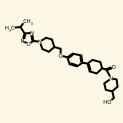 CC(C)c1noc(N2CCC(COc3ccc(C4=CCC(C(=O)N5CCC(CO)CC5)CC4)cc3)CC2)n1